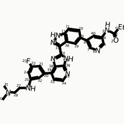 CCC(=O)Nc1cncc(-c2ccc3[nH]nc(-c4nc5c(-c6cc(F)cc(NCCN(C)C)c6)ccnc5[nH]4)c3c2)c1